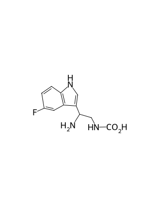 NC(CNC(=O)O)c1c[nH]c2ccc(F)cc12